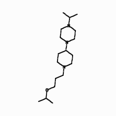 CC(C)OCCCN1CCC(N2CCN(C(C)C)CC2)CC1